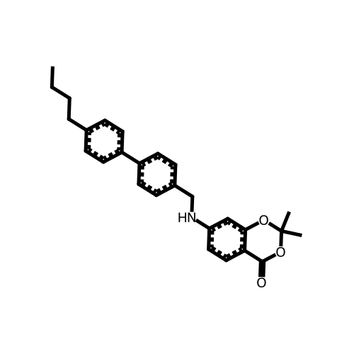 CCCCc1ccc(-c2ccc(CNc3ccc4c(c3)OC(C)(C)OC4=O)cc2)cc1